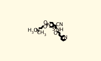 CN(C)CCCOC(=O)N1CCc2c(sc(NC(=O)C=Cc3cccnc3)c2C#N)C1